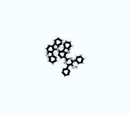 N#Cc1c(-c2ccccc2)nc(-c2ccc(-n3c4ccccc4c4ccc5oc6ccccc6c5c43)c3c2oc2ccccc23)nc1-c1ccccc1